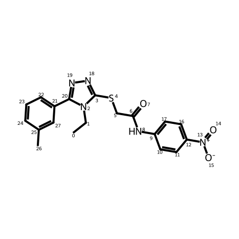 CCn1c(SCC(=O)Nc2ccc([N+](=O)[O-])cc2)nnc1-c1cccc(C)c1